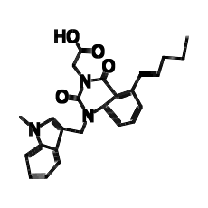 CCCC=Cc1cccc2c1c(=O)n(CC(=O)O)c(=O)n2Cc1cn(C)c2ccccc12